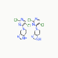 Clc1ncc(Cl)c(N2CCc3[nH]cnc3C2)n1.Clc1ncc(Cl)c(N2CCc3[nH]cnc3C2)n1